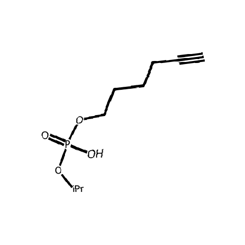 C#CCCCCOP(=O)(O)OC(C)C